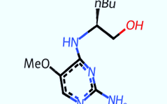 CCCC[C@@H](CO)Nc1nc(N)ncc1OC